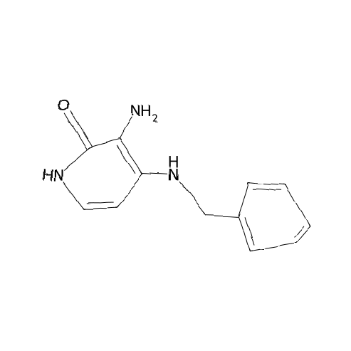 Nc1c(NCc2ccccc2)cc[nH]c1=O